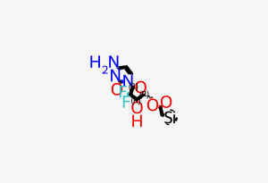 C[Si](C)(C)CC(=O)OC[C@H]1O[C@@H](n2ccc(N)nc2=O)C(F)(F)[C@@H]1O